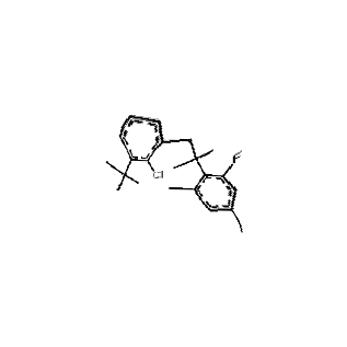 Cc1cc(C)c(C(C)(C)Cc2cccc(C(C)(C)C)c2Cl)c(F)c1